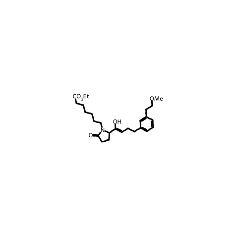 CCOC(=O)CCCCCCN1C(=O)CCC1/C(O)=C/CCc1cccc(CCOC)c1